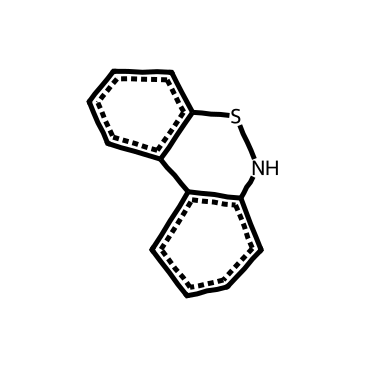 c1ccc2c(c1)NSc1ccccc1-2